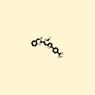 CN(Cc1ccccc1)C(=O)/C(=C/c1ccc(-c2ccc(C(=O)O)cc2)o1)OC=S